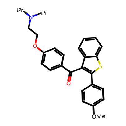 COc1ccc(-c2sc3ccccc3c2C(=O)c2ccc(OCCN(C(C)C)C(C)C)cc2)cc1